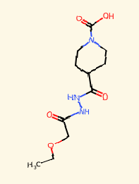 CCOCC(=O)NNC(=O)C1CCN(C(=O)O)CC1